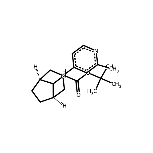 Cc1cc(N2C[C@H]3CC[C@@H](C2)C3NC(=O)OC(C)(C)C)ccn1